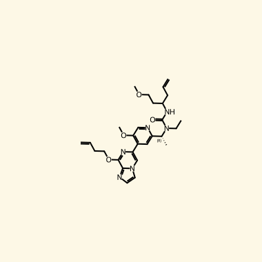 C=CCCOc1nc(-c2cc([C@@H](C)N(CC)C(=O)NC(CC=C)CCOC)ncc2OC)cn2ccnc12